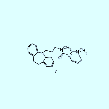 CN1CC=C[C+](C(=O)N(C)CCCN2c3ccccc3CCc3ccccc32)C1.[I-]